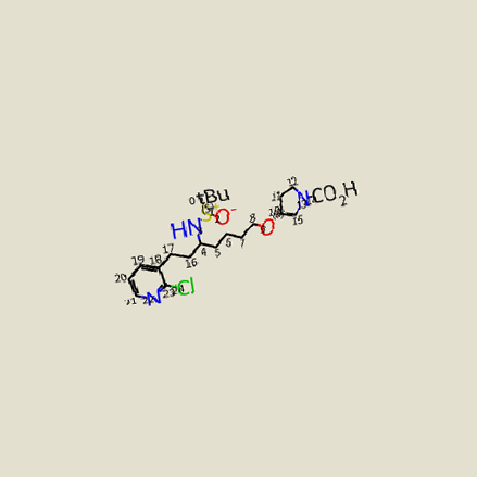 CC(C)(C)[S@@+]([O-])NC(CCCCO[C@@H]1CCN(C(=O)O)C1)CCc1cccnc1Cl